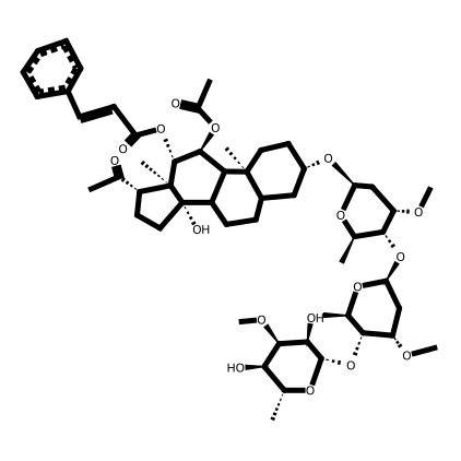 CO[C@H]1[C@@H](O)[C@H](O[C@H]2[C@@H](OC)C[C@H](O[C@H]3[C@@H](OC)C[C@H](O[C@H]4CC[C@@]5(C)C(CCC6C5[C@H](OC(C)=O)[C@@H](OC(=O)/C=C/c5ccccc5)[C@]5(C)[C@@H](C(C)=O)CC[C@]65O)C4)O[C@@H]3C)O[C@@H]2C)O[C@H](C)[C@H]1O